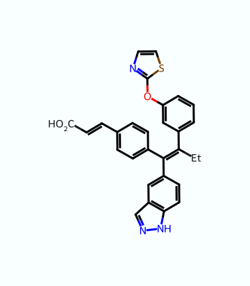 CC/C(=C(/c1ccc(/C=C/C(=O)O)cc1)c1ccc2[nH]ncc2c1)c1cccc(Oc2nccs2)c1